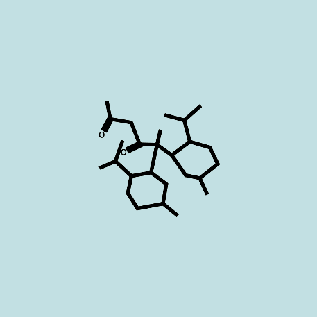 CC(=O)CC(=O)C(C)(C1CC(C)CCC1C(C)C)C1CC(C)CCC1C(C)C